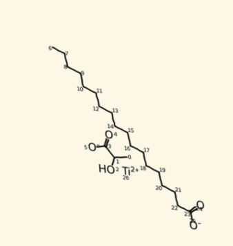 CC(O)C(=O)[O-].CCCCCCCCCCCCCCCCCC(=O)[O-].[Ti+2]